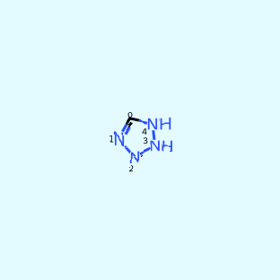 C1=N[N]NN1